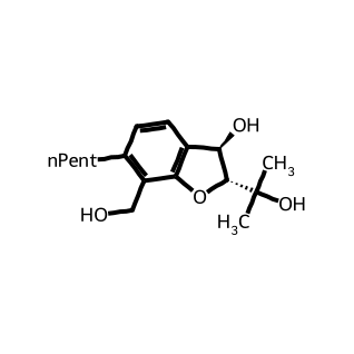 CCCCCc1ccc2c(c1CO)O[C@@H](C(C)(C)O)[C@@H]2O